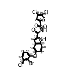 O=C(NS(=O)(=O)c1cc(Cl)c(Cl)s1)c1cc2cc(Oc3cccc(Cl)c3Br)ccc2[nH]1